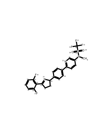 CN(c1ccc(-c2ccc(C3CCC(c4c(F)cccc4F)=N3)cc2)nc1)S(=O)(=O)C(F)(F)F